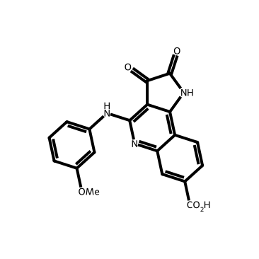 COc1cccc(Nc2nc3cc(C(=O)O)ccc3c3c2C(=O)C(=O)N3)c1